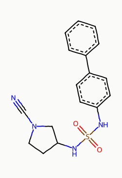 N#CN1CCC(NS(=O)(=O)Nc2ccc(-c3ccccc3)cc2)C1